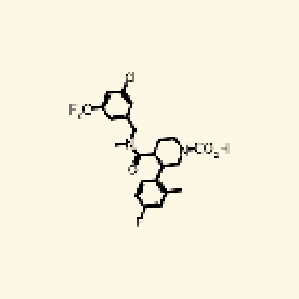 Cc1cc(F)ccc1C1CN(C(=O)O)CCC1C(=O)N(C)Cc1cc(Cl)cc(C(F)(F)F)c1